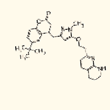 Cn1nc(CC2CC(=O)Oc3ccc(C(C)(C)C)cc32)cc1OCCc1ccc2c(n1)NCCC2